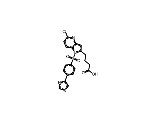 O=C(O)CCCc1cc2nc(Cl)ccc2n1S(=O)(=O)c1ccc(-c2cscn2)cc1